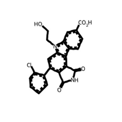 O=C(O)c1ccc2c3c4c(c(-c5ccccc5Cl)cc3n(CCO)c2c1)C(=O)NC4=O